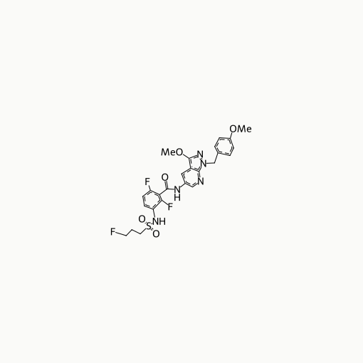 COc1ccc(Cn2nc(OC)c3cc(NC(=O)c4c(F)ccc(NS(=O)(=O)CCCF)c4F)cnc32)cc1